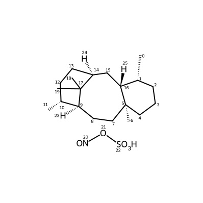 C[C@@H]1CCC[C@@]2(C)CC[C@H]3[C@H](C)CC[C@@H](C[C@H]12)C3(C)C.O=NOS(=O)(=O)O